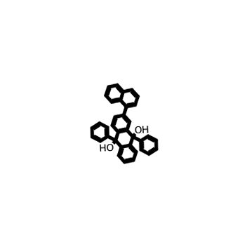 OC1(c2ccccc2)c2ccccc2C(O)(c2ccccc2)c2cc(-c3cccc4ccccc34)ccc21